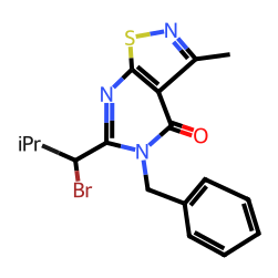 Cc1nsc2nc(C(Br)C(C)C)n(Cc3ccccc3)c(=O)c12